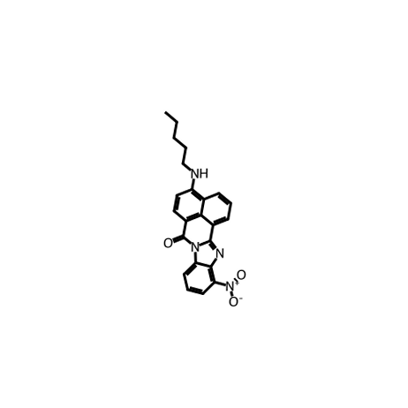 CCCCCNc1ccc2c(=O)n3c4cccc([N+](=O)[O-])c4nc3c3cccc1c23